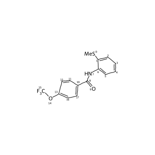 CSc1ccccc1NC(=O)c1ccc(OC(F)(F)F)cc1